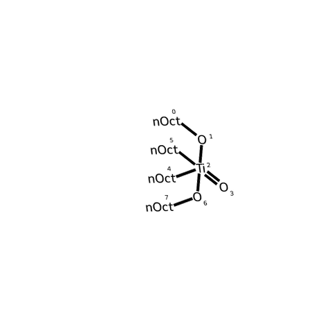 CCCCCCCC[O][Ti](=[O])([CH2]CCCCCCC)([CH2]CCCCCCC)[O]CCCCCCCC